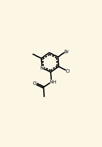 CC(=O)Nc1nc(C)cc(Br)c1Cl